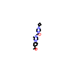 CC(=O)c1ccc(N2CCN(CC(=O)N3CCN(C4CCC4)CC3)C(C)C2)cc1